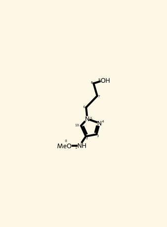 CONc1cnn(CCCO)c1